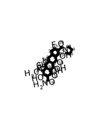 CN(C)[C@@H]1C(O)=C(C(N)=O)C(=O)[C@@]2(O)C(O)=C3C(=O)c4c(cc(F)c(C(=O)N5CCCC5)c4O)C[C@H]3C[C@@H]12